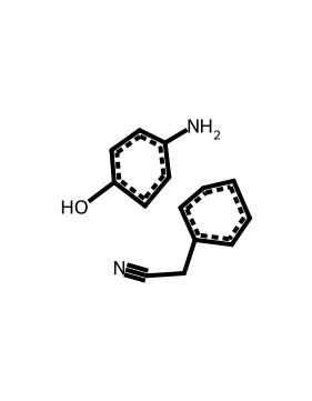 N#CCc1ccccc1.Nc1ccc(O)cc1